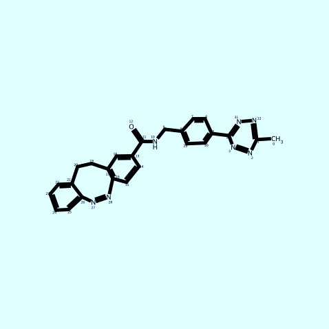 Cc1nnc(-c2ccc(CNC(=O)c3ccc4c(c3)CCc3ccccc3N=N4)cc2)nn1